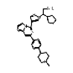 CN1CCC(c2ccc(-c3cc4nccn4c(-c4cnn(C(CN)C5CCCC5)c4)n3)cc2)CC1